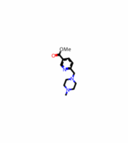 COC(=O)c1ccc(CN2CCN(C)CC2)nc1